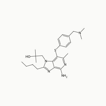 CCCCc1nc2c(N)nc(C)c(Sc3ccc(CN(C)C)cc3)c2n1CC(C)(C)O